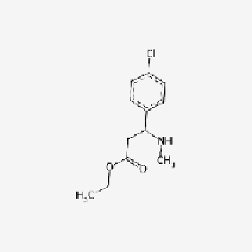 CCOC(=O)CC(NC)c1ccc(Cl)cc1